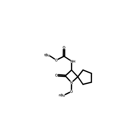 CCCCON1C(=O)C(NC(=O)OC(C)(C)C)C12CCCC2